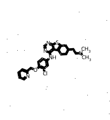 CN(C)CCC1CCc2c(sc3ncnc(Nc4ccc(OCc5ccccn5)c(Cl)c4)c23)C1